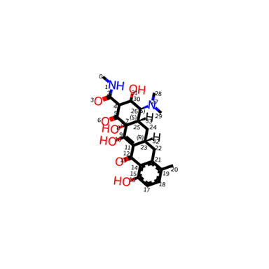 CNC(=O)C1C(=O)[C@@]2(O)C(O)=C3C(=O)c4c(O)ccc(C)c4C[C@H]3C[C@H]2[C@H](N(C)C)C1O